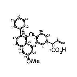 C=CC(C(=O)O)c1ccc(Oc2c(-c3ccccc3)ccc3cc(OC)ccc23)cc1